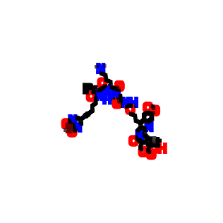 CC[C@@]1(O)C(=O)OCc2c1cc1n(c2=O)Cc2c-1nc1cc3c(cc1c2CCCOCNC(=O)CNC(=O)[C@H](CCCCN(C)C)NC(=O)C(NC(=O)CCCC#Cc1cnc(S(C)(=O)=O)nc1)C(C)C)OCO3